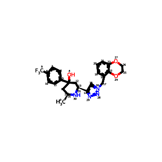 C[C@H]1CC(O)(c2ccc(C(F)(F)F)cc2)C[C@@H](c2cn(Cc3cccc4c3OCCO4)nn2)N1